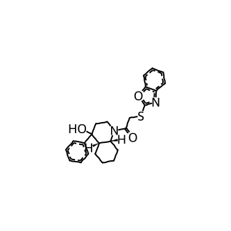 O=C(CSc1nc2ccccc2o1)N1CCC(O)(c2ccccc2)[C@H]2CCCC[C@H]21